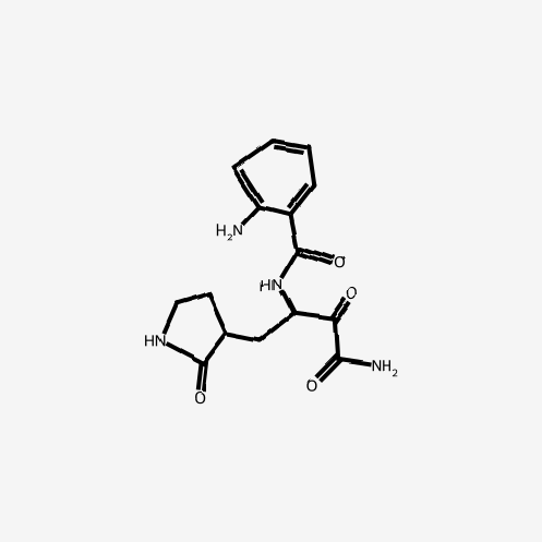 NC(=O)C(=O)C(CC1CCNC1=O)NC(=O)c1ccccc1N